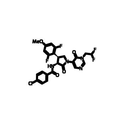 COc1cc(F)c([C@@H]2CN(c3cncn(CC(F)F)c3=O)C(=O)[C@H]2NC(=O)c2ccc(Cl)cc2)c(F)c1